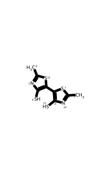 Cc1nc(S)c(-c2sc(C)nc2S)s1